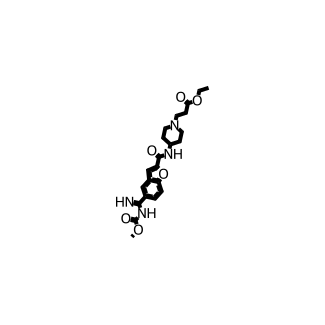 CCOC(=O)CCN1CCC(NC(=O)c2cc3cc(C(=N)NC(=O)OC)ccc3o2)CC1